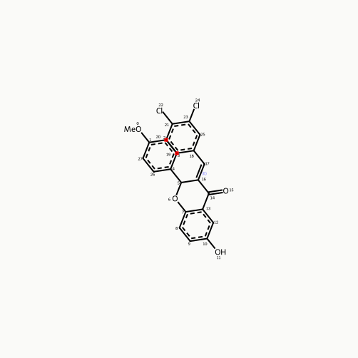 COc1ccc(C2Oc3ccc(O)cc3C(=O)/C2=C/c2ccc(Cl)c(Cl)c2)cc1